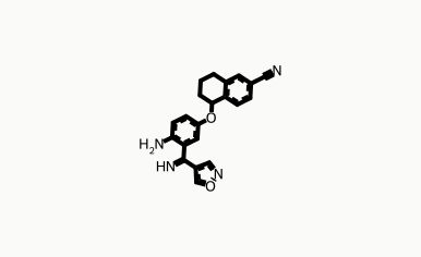 N#Cc1ccc2c(c1)CCCC2Oc1ccc(N)c(C(=N)c2cnoc2)c1